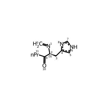 C=N[C@@H](Cc1c[nH]cn1)C(=O)CCC